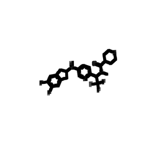 CN(C(=O)C1CCSCC1)C(c1ccc(NC2Cc3cc(F)c(F)cc3C2)cn1)C(F)(F)F